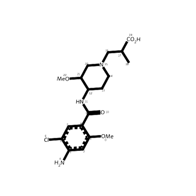 COc1cc(N)c(Cl)cc1C(=O)NC1CCN(CC(C)C(=O)O)CC1OC